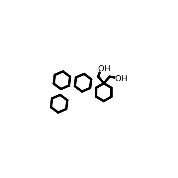 C1CCCCC1.C1CCCCC1.C1CCCCC1.OCC1(CO)CCCCC1